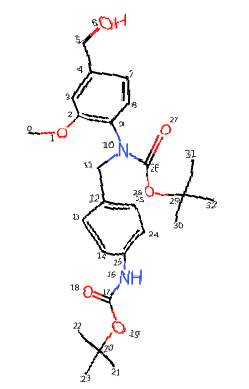 COc1cc(CO)ccc1N(Cc1ccc(NC(=O)OC(C)(C)C)cc1)C(=O)OC(C)(C)C